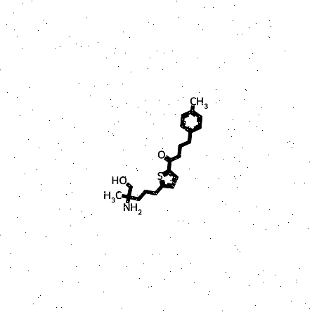 Cc1ccc(CCCC(=O)c2ccc(CCCC(C)(N)CO)s2)cc1